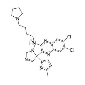 CCN1CN=CC1(c1ccc(C)s1)c1nc2cc(Cl)c(Cl)cc2nc1NCCCCN1CCCC1